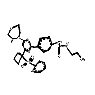 C[C@H]1COCCN1c1cc(C2(S(=O)(=O)c3ccccn3)CCC2)nc(-c2ccc(NC(=O)NCCO)cc2)n1